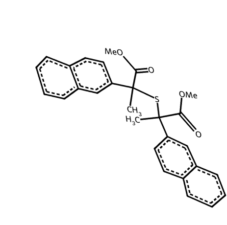 COC(=O)C(C)(SC(C)(C(=O)OC)c1ccc2ccccc2c1)c1ccc2ccccc2c1